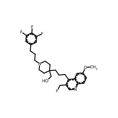 COc1ccc2ncc(CF)c(CCCC3(CO)CCN(CCCc4cc(F)c(F)c(F)c4)CC3)c2c1